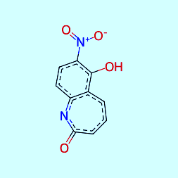 O=c1cccc2c(O)c([N+](=O)[O-])ccc2n1